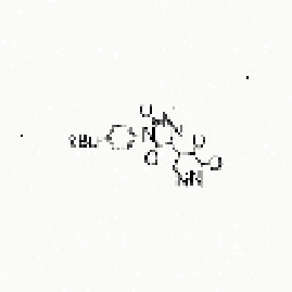 CN1N=CC(c2nn(C)c(=O)n(-c3ccc(C(C)(C)C)cc3)c2=O)C(=O)C1=O